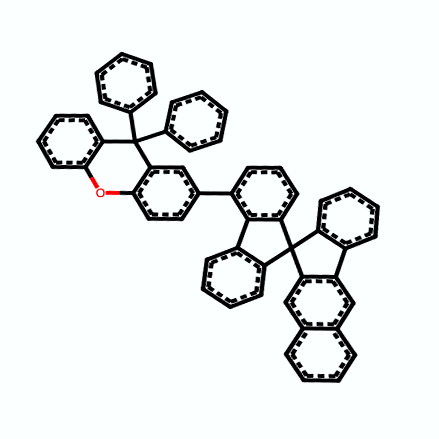 c1ccc(C2(c3ccccc3)c3ccccc3Oc3ccc(-c4cccc5c4-c4ccccc4C54c5ccccc5-c5cc6ccccc6cc54)cc32)cc1